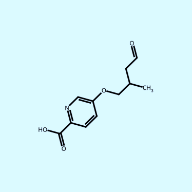 CC(CC=O)COc1ccc(C(=O)O)nc1